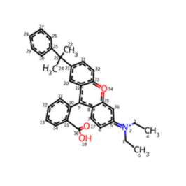 CC[N+](CC)=c1ccc2c(-c3ccccc3C(=O)O)c3cc(C(C)(C)c4ccccc4)ccc3oc-2c1